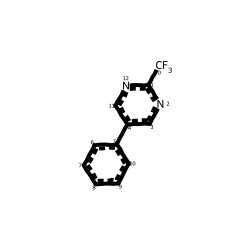 FC(F)(F)c1ncc(-c2ccccc2)cn1